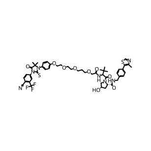 Cc1ncsc1-c1ccc(CNC(=O)[C@@H]2C[C@@H](O)CN2C(=O)C(NC(=O)COCCCOCCOCCOc2ccc(N3C(=S)N(c4ccc(C#N)c(C(F)(F)F)c4)C(=O)C3(C)C)cc2)C(C)(C)C)cc1